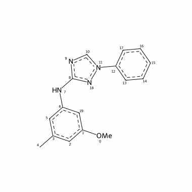 COc1cc(C)cc(Nc2ncn(-c3ccccc3)n2)c1